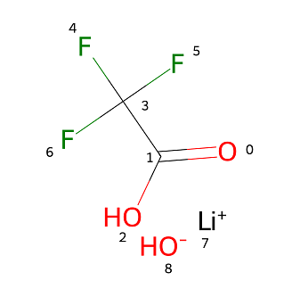 O=C(O)C(F)(F)F.[Li+].[OH-]